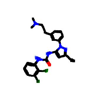 CN(C)CCc1cccc(-n2nc(C(C)(C)C)cc2NC(=O)Nc2cccc(Cl)c2Cl)c1